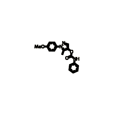 COc1ccc(-n2ncc(OC(=O)Nc3ccccc3)c2C)cc1